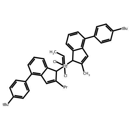 C[CH]=[Hf]([Cl])([Cl])([CH]1C(C)=Cc2c(-c3ccc(C(C)(C)C)cc3)cccc21)[CH]1C(C(C)C)=Cc2c(-c3ccc(C(C)(C)C)cc3)cccc21